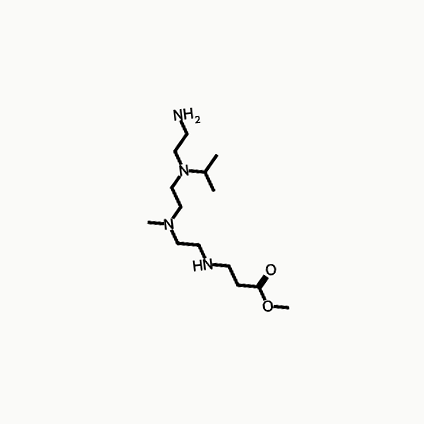 COC(=O)CCNCCN(C)CCN(CCN)C(C)C